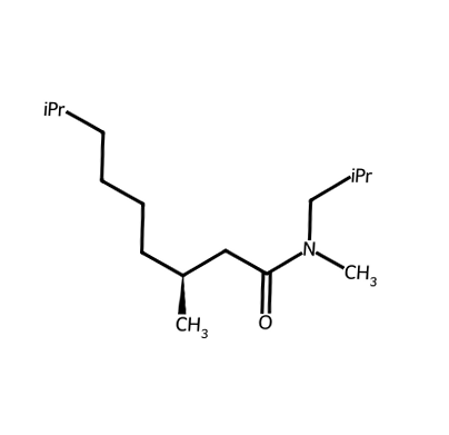 CC(C)CCCC[C@H](C)CC(=O)N(C)CC(C)C